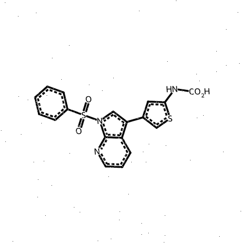 O=C(O)Nc1cc(-c2cn(S(=O)(=O)c3ccccc3)c3ncccc23)cs1